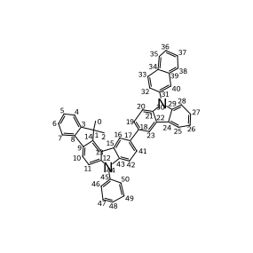 CC1(C)c2ccccc2-c2ccc3c(c21)c1cc(-c2ccc4c(c2)c2ccccc2n4-c2ccc4ccccc4c2)ccc1n3-c1ccccc1